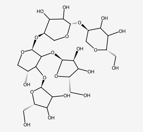 OC[C@@H]1O[C@@H](OC2C(O[C@@H]3O[C@@H](CO)C(O)[C@@H]3O)[C@H](O[C@@H]3CO[C@@H](O[C@@H]4CO[C@@H](CO)C(O)C4O)C(O)C3O)OC[C@H]2O)C(O)C1O